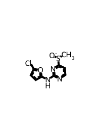 C[S+]([O-])c1ccnc(Nc2ccc(Cl)o2)n1